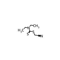 CCN(CC)C(=S)SCC#N